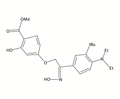 CCN(CC)c1ccc(/C(COc2ccc(C(=O)OC)c(O)c2)=N/O)cc1C(C)(C)C